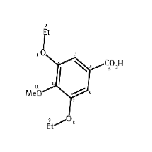 CCOc1cc(C(=O)O)cc(OCC)c1OC